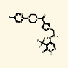 C[C@@H](Cn1ccc(C(=O)N2CCN(c3ncc(F)cn3)CC2)c1)Nc1cn[nH]c(=O)c1C(F)(F)F